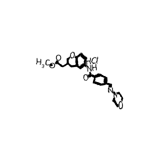 COC(=O)CC1COc2ccc(NC(=O)c3ccc(C=NN4CCOCC4)cc3)cc2C1.Cl